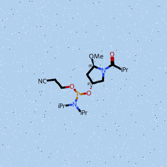 CO[C@@H]1C[C@@H](OP(OCCC#N)N(C(C)C)C(C)C)CN1C(=O)C(C)C